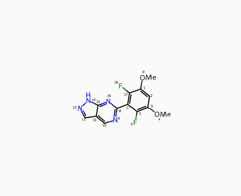 COc1cc(OC)c(F)c(-c2ncc3cn[nH]c3n2)c1F